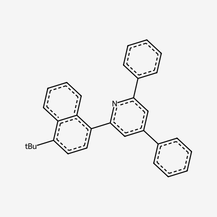 CC(C)(C)c1ccc(-c2cc(-c3ccccc3)cc(-c3ccccc3)n2)c2ccccc12